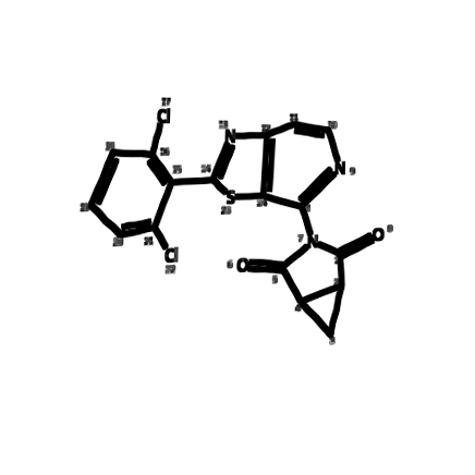 O=C1C2CC2C(=O)N1c1nccc2nc(-c3c(Cl)cccc3Cl)sc12